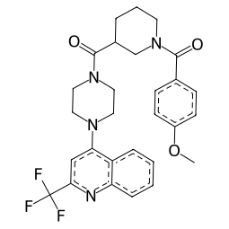 COc1ccc(C(=O)N2CCCC(C(=O)N3CCN(c4cc(C(F)(F)F)nc5ccccc45)CC3)C2)cc1